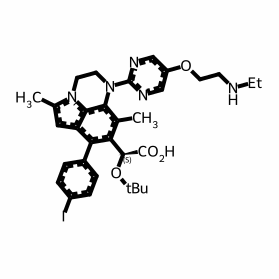 CCNCCOc1cnc(N2CCn3c(C)cc4c(-c5ccc(I)cc5)c([C@H](OC(C)(C)C)C(=O)O)c(C)c2c43)nc1